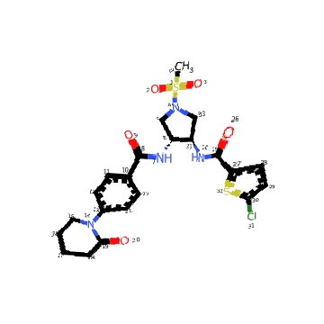 CS(=O)(=O)N1C[C@@H](NC(=O)c2ccc(N3CCCCC3=O)cc2)[C@H](NC(=O)c2ccc(Cl)s2)C1